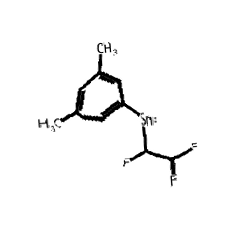 Cc1cc(C)c[c]([Sn][CH](F)C(F)F)c1